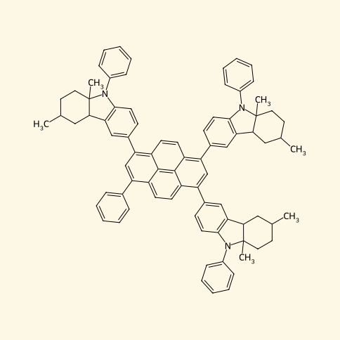 CC1CCC2(C)C(C1)c1cc(-c3cc(-c4ccccc4)c4ccc5c(-c6ccc7c(c6)C6CC(C)CCC6(C)N7c6ccccc6)cc(-c6ccc7c(c6)C6CC(C)CCC6(C)N7c6ccccc6)c6ccc3c4c56)ccc1N2c1ccccc1